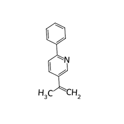 C=C(C)c1ccc(-c2ccccc2)nc1